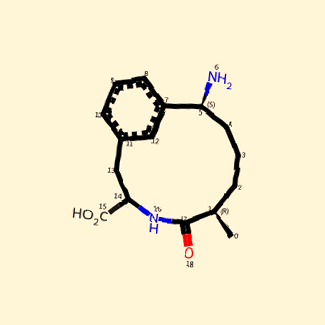 C[C@@H]1CCC[C@H](N)c2cccc(c2)CC(C(=O)O)NC1=O